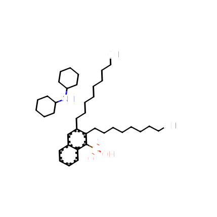 C1CCC(NC2CCCCC2)CC1.CCCCCCCCCc1cc2ccccc2c(S(=O)(=O)O)c1CCCCCCCCC